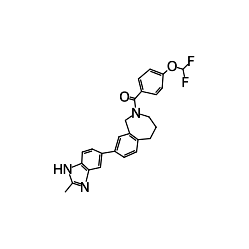 Cc1nc2cc(-c3ccc4c(c3)CN(C(=O)c3ccc(OC(F)F)cc3)CCC4)ccc2[nH]1